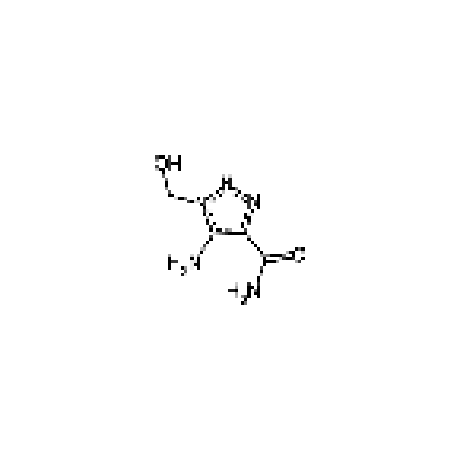 NC(=O)c1nnn(CO)c1N